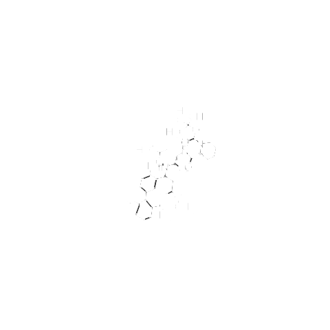 COC(=O)C[C@H](NC(=O)[C@H](CC(C)C)NC(=O)[C@H]1CCCCN1C(=O)OC(C)(C)C)c1cc(-c2c(C)cccc2C)cc(F)c1F